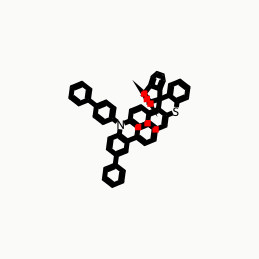 c1ccc(-c2ccc(N(c3ccc4c5c(ccc4c3)Sc3ccccc3C53c4ccccc4-c4ccccc43)c3ccc(-c4ccccc4)cc3-c3ccccc3)cc2)cc1